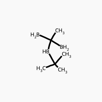 BC(B)(C)BC(C)(C)C